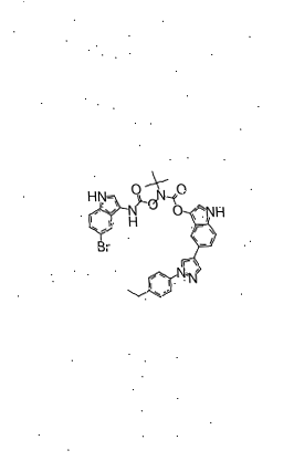 CCc1ccc(-n2cc(-c3ccc4[nH]cc(OC(=O)N(OC(=O)Nc5c[nH]c6ccc(Br)cc56)C(C)(C)C)c4c3)cn2)cc1